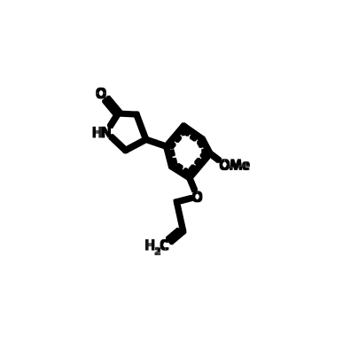 C=CCOc1cc(C2CNC(=O)C2)ccc1OC